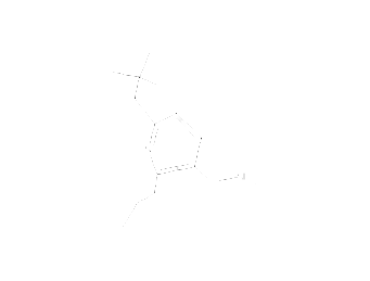 CCCc1nc(CC(C)(C)C)ccc1ON